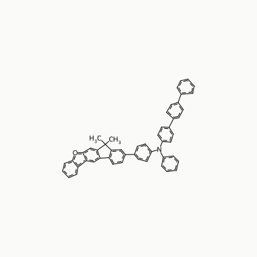 CC1(C)c2cc(-c3ccc(N(c4ccccc4)c4ccc(-c5ccc(-c6ccccc6)cc5)cc4)cc3)ccc2-c2cc3c(cc21)oc1ccccc13